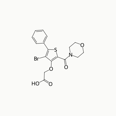 O=C(O)COc1c(C(=O)N2CCOCC2)sc(-c2ccccc2)c1Br